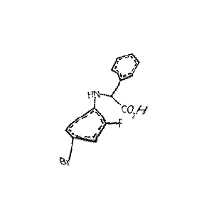 O=C(O)C(Nc1ccc(Br)cc1F)c1ccccc1